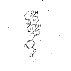 CCOc1cncc(C2=CC[C@H]3[C@@H]4CC[C@H]5OCCC[C@]5(C)[C@H]4CC[C@]23C)c1